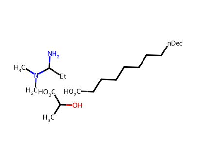 CC(O)C(=O)O.CCC(N)N(C)C.CCCCCCCCCCCCCCCCCC(=O)O